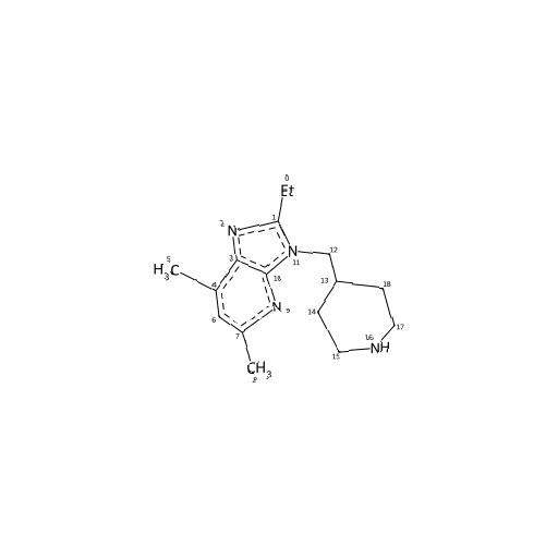 CCc1nc2c(C)cc(C)nc2n1CC1CCNCC1